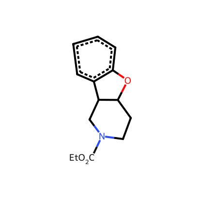 CCOC(=O)N1CCC2Oc3ccccc3C2C1